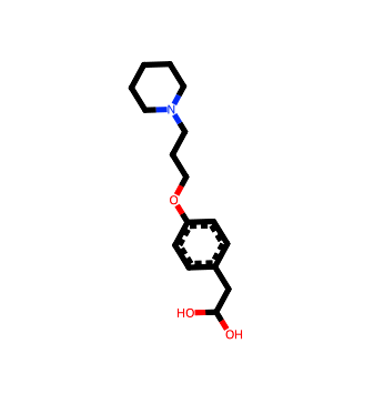 OC(O)Cc1ccc(OCCCN2CCCCC2)cc1